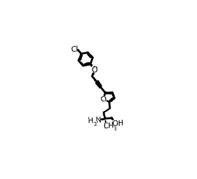 C[C@](N)(CO)CCc1ccc(C#CCOc2ccc(Cl)cc2)o1